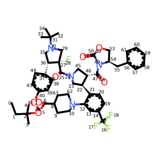 CCC(C)(C)OC(=O)C1CCN(c2cc(C(F)(F)F)ccc2[C@H]2CN(C(=O)[C@]3(F)CN(C(C)(C)C)C[C@H]3c3ccc(OC)cc3)C[C@@H]2C(=O)N2C(=O)OC[C@H]2Cc2ccccc2)CC1